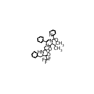 CC(C)C1C(=O)N(CC(=O)NC(Cc2ccccc2)C(=O)C(F)(F)F)C(c2ccccc2)=CN1C(=O)c1ccccn1